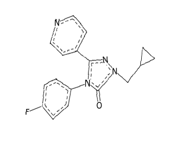 O=c1n(CC2CC2)nc(-c2ccncc2)n1-c1ccc(F)cc1